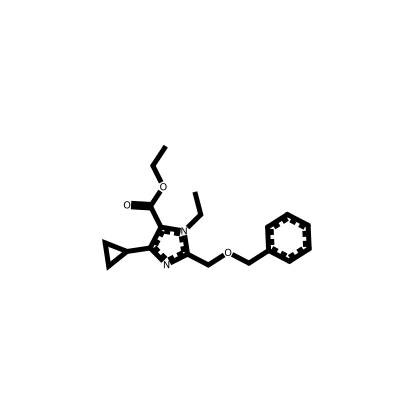 CCOC(=O)c1c(C2CC2)nc(COCc2ccccc2)n1CC